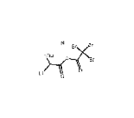 CCCCC(CC)C(=O)OC(=O)C(Br)(Br)Br.[Ni]